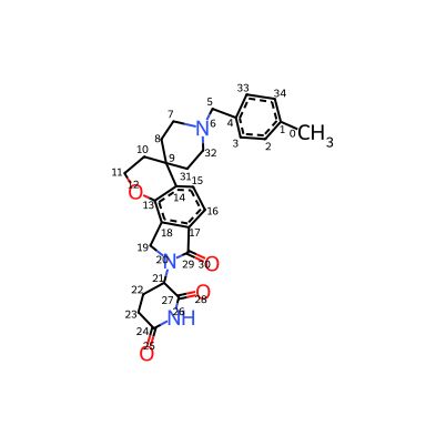 Cc1ccc(CN2CCC3(CCOc4c3ccc3c4CN(C4CCC(=O)NC4=O)C3=O)CC2)cc1